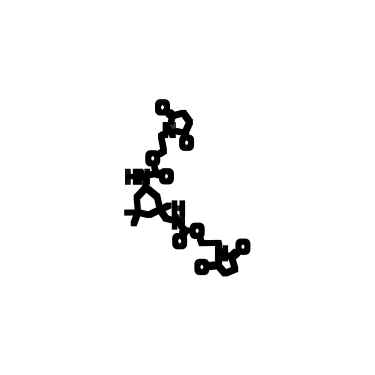 CC1(C)CC(NC(=O)OCCN2C(=O)CCC2=O)CC(C)(CNC(=O)OCCN2C(=O)CCC2=O)C1